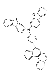 c1ccc2c(c1)ccc1cc(-c3ccc(N(c4ccc5c(c4)oc4ccccc45)c4ccc5c(c4)sc4ccccc45)cc3)c3ccccc3c12